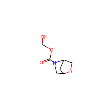 O=C(OCO)N1CC2CC1CO2